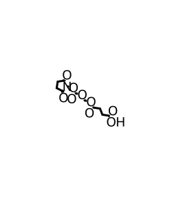 O=C(O)CCC(=O)OCOC(=O)ON1C(=O)CCC1=O